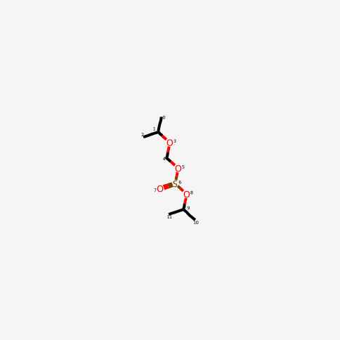 CC(C)OCOS(=O)OC(C)C